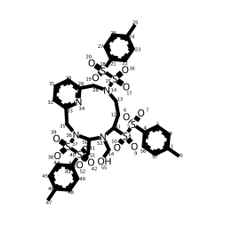 Cc1ccc(S(=O)(=O)S(=O)(=O)C2CCN(S(=O)(=O)S(=O)(=O)c3ccc(C)cc3)Cc3cccc(n3)CN(S(=O)(=O)S(=O)(=O)c3ccc(C)cc3)C(CO)N2CO)cc1